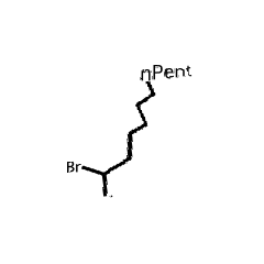 [CH2]C(Br)CCCCCCCCCC